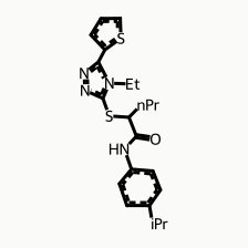 CCCC(Sc1nnc(-c2cccs2)n1CC)C(=O)Nc1ccc(C(C)C)cc1